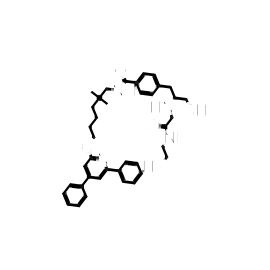 CC(C)(CCCCOc1cc(-c2ccccc2)cc(-c2ccccc2)n1)CNC(=O)c1ccc(CC(CS)NCC(=O)NCCS)cc1